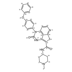 CN1CCC(NC(=O)c2sc3nccc4c3c2NC(=O)N4c2ccc(Oc3ccccc3)cc2)CC1